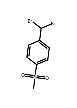 CS(=O)(=O)c1ccc(C(Br)Br)cc1